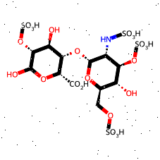 O=C(O)[C@@H]1OC(O)[C@H](OS(=O)(=O)O)[C@@H](O)[C@@H]1O[C@H]1O[C@H](COS(=O)(=O)O)[C@@H](O)[C@H](OS(=O)(=O)O)[C@H]1NS(=O)(=O)O